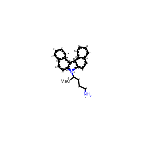 COC(CCCN)n1c2ccc3ccccc3c2c2c3ccccc3ccc21